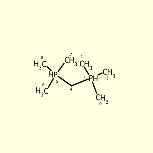 C[PH](C)(C)C[PH](C)(C)C